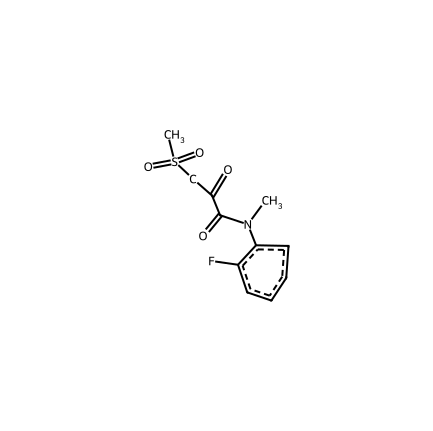 CN(C(=O)C(=O)CS(C)(=O)=O)c1ccccc1F